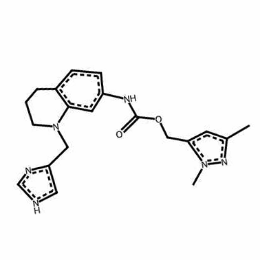 Cc1cc(COC(=O)Nc2ccc3c(c2)N(Cc2c[nH]cn2)CCC3)n(C)n1